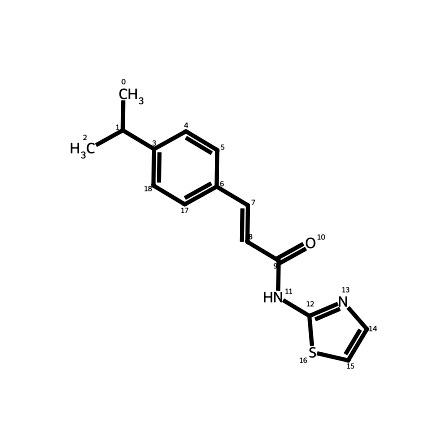 CC(C)c1ccc(/C=C/C(=O)Nc2nccs2)cc1